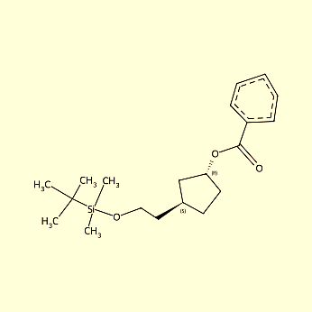 CC(C)(C)[Si](C)(C)OCC[C@@H]1CC[C@@H](OC(=O)c2ccccc2)C1